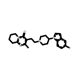 Cc1nc2n(c(=O)c1CCN1CCC(n3ccc4cc(F)ccc43)CC1)CCCC2